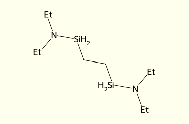 CCN(CC)[SiH2]CC[SiH2]N(CC)CC